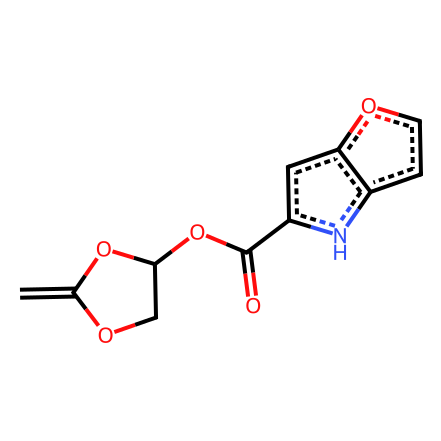 C=C1OCC(OC(=O)c2cc3occc3[nH]2)O1